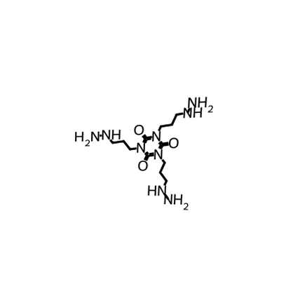 NNCCCn1c(=O)n(CCCNN)c(=O)n(CCCNN)c1=O